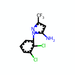 Nc1cc(C(F)(F)F)nn1-c1cccc(Cl)c1Cl